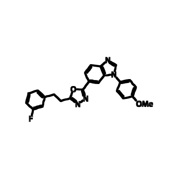 COc1ccc(-n2cnc3ccc(-c4nnc(CCc5cccc(F)c5)o4)cc32)cc1